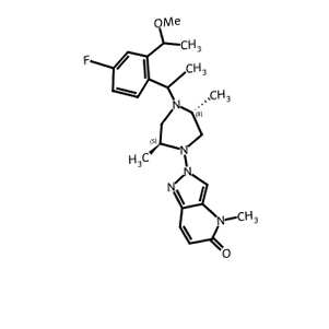 COC(C)c1cc(F)ccc1C(C)N1C[C@H](C)N(n2cc3c(ccc(=O)n3C)n2)C[C@H]1C